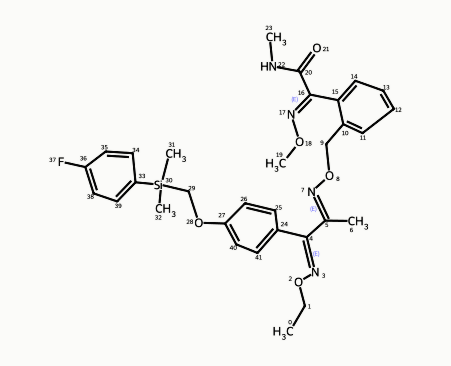 CCO/N=C(/C(C)=N/OCc1ccccc1/C(=N\OC)C(=O)NC)c1ccc(OC[Si](C)(C)c2ccc(F)cc2)cc1